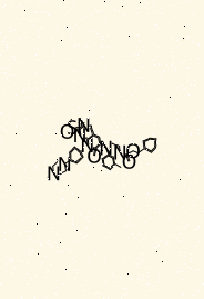 Cc1cccc2c1N(C(=O)OCc1ccccc1)CCN2c1cc2cnc([S+](C)[O-])nc2n(-c2ccc(N3CCN(C)CC3)cc2)c1=O